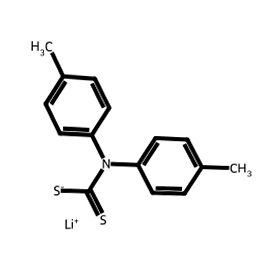 Cc1ccc(N(C(=S)[S-])c2ccc(C)cc2)cc1.[Li+]